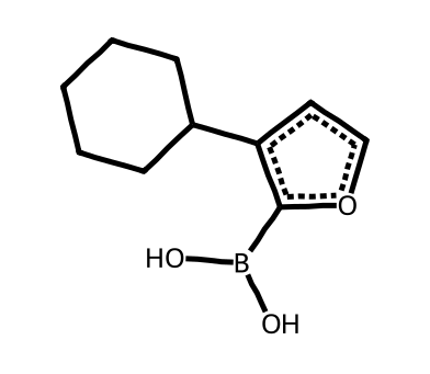 OB(O)c1occc1C1CCCCC1